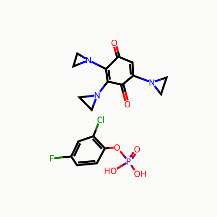 O=C1C=C(N2CC2)C(=O)C(N2CC2)=C1N1CC1.O=P(O)(O)Oc1ccc(F)cc1Cl